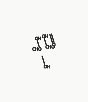 C=O.CO.O=CO.O=CO